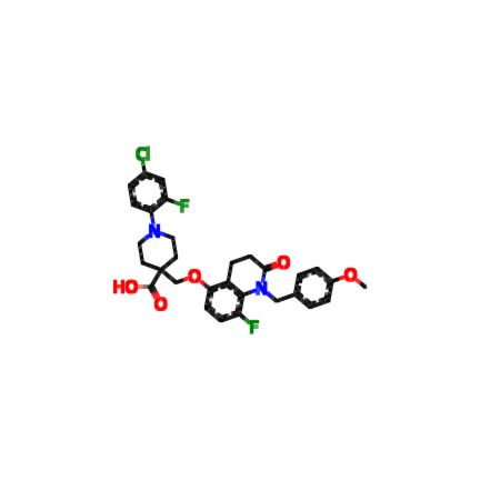 COc1ccc(CN2C(=O)CCc3c(OCC4(C(=O)O)CCN(c5ccc(Cl)cc5F)CC4)ccc(F)c32)cc1